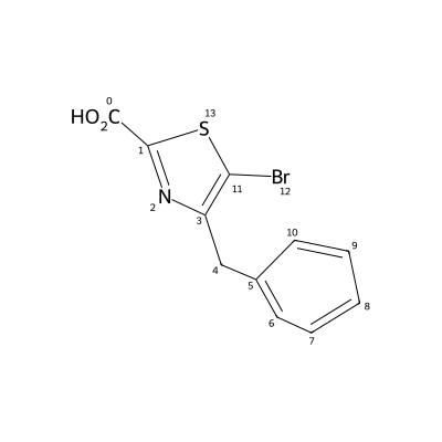 O=C(O)c1nc(Cc2ccccc2)c(Br)s1